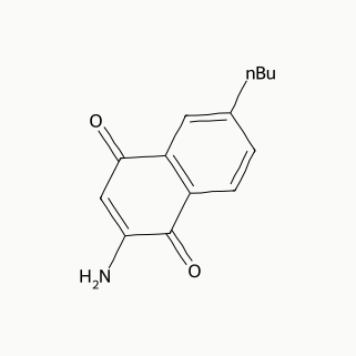 CCCCc1ccc2c(c1)C(=O)C=C(N)C2=O